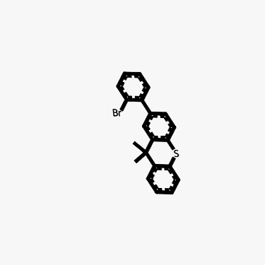 CC1(C)c2ccccc2Sc2ccc(-c3ccccc3Br)cc21